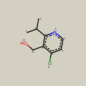 CC(C)c1nccc(Cl)c1CO